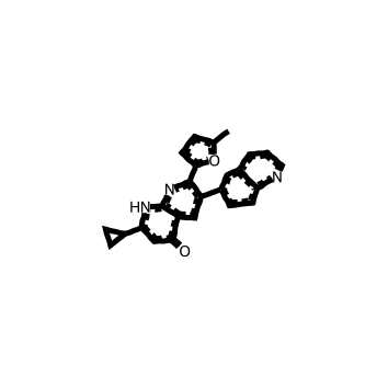 Cc1ccc(-c2nc3[nH]c(C4CC4)cc(=O)c3cc2-c2ccc3ncccc3c2)o1